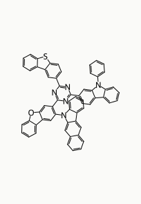 c1ccc(-n2c3ccccc3c3ccc(-c4nc(-c5ccc6sc7ccccc7c6c5)nc(-c5cc6oc7ccccc7c6cc5-n5c6ccccc6c6cc7ccccc7cc65)n4)cc32)cc1